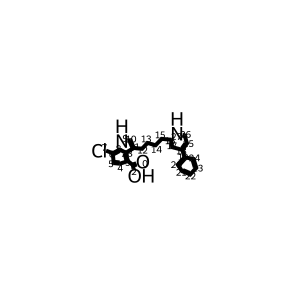 O=C(O)c1ccc(Cl)c2[nH]cc(CCCCC3CC(c4ccccc4)=CCN3)c12